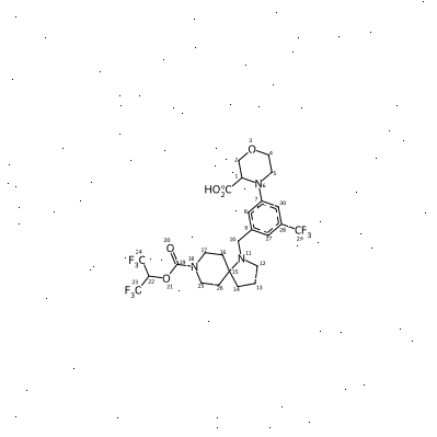 O=C(O)C1COCCN1c1cc(CN2CCCC23CCN(C(=O)OC(C(F)(F)F)C(F)(F)F)CC3)cc(C(F)(F)F)c1